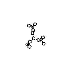 c1ccc(N(c2ccccc2)c2ccc3cc(-c4cc(-c5ccc6oc7ccccc7c6c5)cc(-c5ccc6c(c5)c5ccccc5n6-c5ccccc5)c4)ccc3c2)cc1